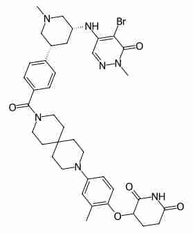 Cc1cc(N2CCC3(CCN(C(=O)c4ccc([C@H]5C[C@@H](Nc6cnn(C)c(=O)c6Br)CN(C)C5)cc4)CC3)CC2)ccc1OC1CCC(=O)NC1=O